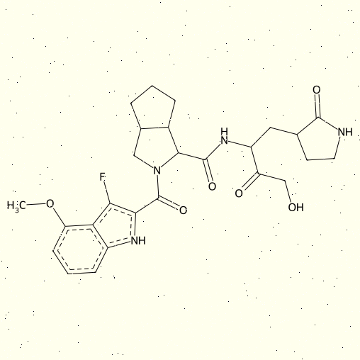 COc1cccc2[nH]c(C(=O)N3CC4CCCC4C3C(=O)NC(CC3CCNC3=O)C(=O)CO)c(F)c12